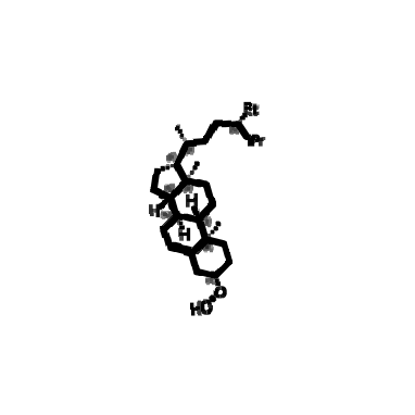 CC[C@@H](CC[C@@H](C)[C@H]1CC[C@H]2[C@@H]3CC=C4C[C@@H](OO)CC[C@]4(C)[C@H]3CC[C@]12C)C(C)C